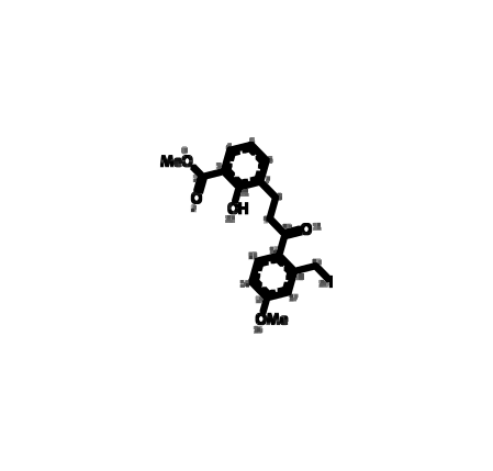 COC(=O)c1cccc(CCC(=O)c2ccc(OC)cc2CI)c1O